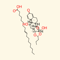 CCCC1O[C@@H]2C[C@H]3[C@@H]4CCC5=CC(=O)C=C[C@]5(C)[C@H]4[C@@H](O)C[C@]3(C)[C@]2(C(=O)CO)O1.CCCCCCCCC=CCCCCCCCC(=O)O